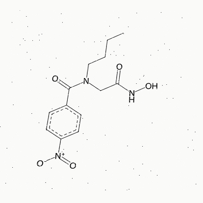 CCCCN(CC(=O)NO)C(=O)c1ccc([N+](=O)[O-])cc1